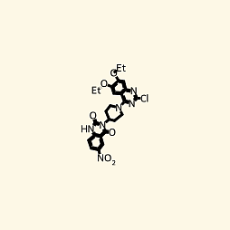 CCOc1cc2nc(Cl)nc(N3CCC(n4c(=O)[nH]c5ccc([N+](=O)[O-])cc5c4=O)CC3)c2cc1OCC